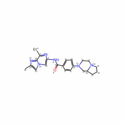 CCc1nc(NC(=O)c2ccc(N3CCN4CCCC4C3)cc2)cn2cc(C)nc12